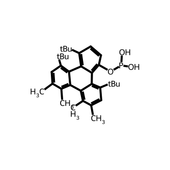 Cc1cc(C(C)(C)C)c2c3c(OP(O)O)ccc(C(C)(C)C)c3c3c(C(C)(C)C)cc(C)c(C)c3c2c1C